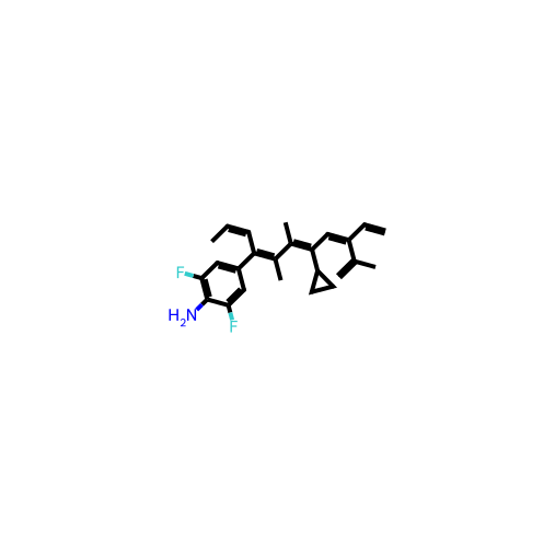 C=C/C(=C/C(=C(C)/C(C)=C(\C=C/C)c1cc(F)c(N)c(F)c1)C1CC1)C(=C)C